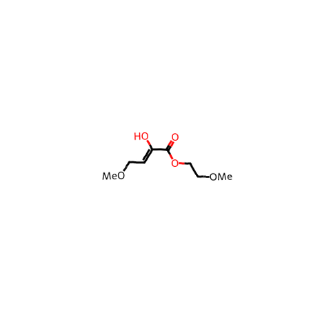 COCC=C(O)C(=O)OCCOC